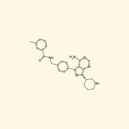 Cc1cccc(C(=O)NCc2ccc(-c3nn([C@@H]4CCCNC4)c4ncnc(N)c34)cc2)c1